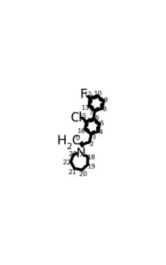 C=C(Cc1ccc(-c2cccc(F)c2)c(Cl)c1)N1CCCCCC1